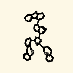 C/C=C(\C=C/c1ccccc1)c1nc(-c2cccc3c(-c4cccc5oc6ccccc6c45)cccc23)nc(-c2cccc3c2oc2ccccc23)n1